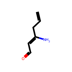 C=CCC(N)=C[C]=O